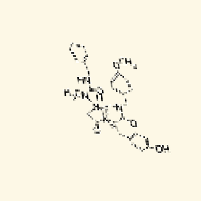 COc1ccc(CN2C[C@H]3N(C(=O)CN3N(C)C(=O)NCc3ccccc3)[C@@H](Cc3ccc(O)cc3)C2=O)cc1